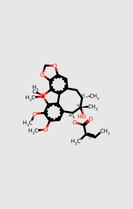 C/C=C(/C)C(=O)O[C@@H]1c2cc(OC)c(OC)c(OC)c2-c2c(cc3c(c2OC)OCO3)C[C@H](C)[C@]1(C)O